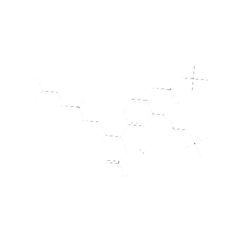 CC(C)COC(=O)OCC(C)C(c1ccc(OC(=O)OC(C)(C)C)c(OC(=O)OC(C)(C)C)c1)[C@H](N)C(=O)O